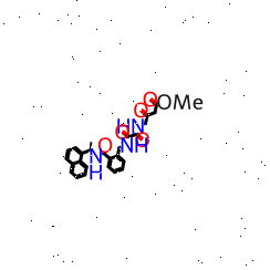 COC(=O)CC(=O)CNC(=O)C(=O)NCc1ccccc1C(=O)N[C@H](C)c1cccc2ccccc12